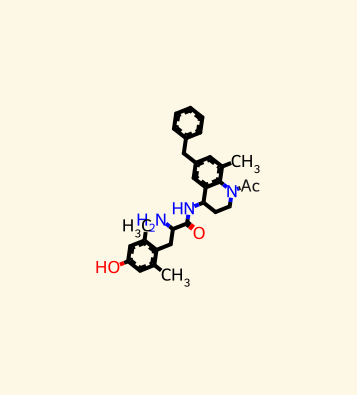 CC(=O)N1CCC(NC(=O)C(N)Cc2c(C)cc(O)cc2C)c2cc(Cc3ccccc3)cc(C)c21